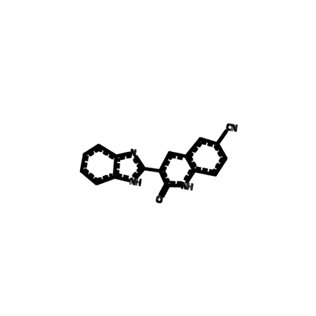 N#Cc1ccc2[nH]c(=O)c(-c3nc4ccccc4[nH]3)cc2c1